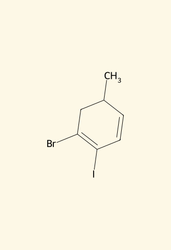 CC1C=CC(I)=C(Br)C1